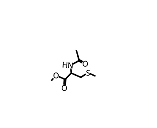 COC(=O)C(CSC)NC(C)=O